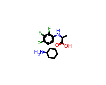 CC(Nc1ccc(F)c(F)c1F)C(=O)O.NC1CCCCC1